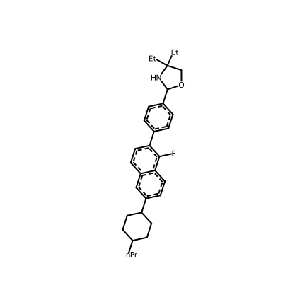 CCCC1CCC(c2ccc3c(F)c(-c4ccc(C5NC(CC)(CC)CO5)cc4)ccc3c2)CC1